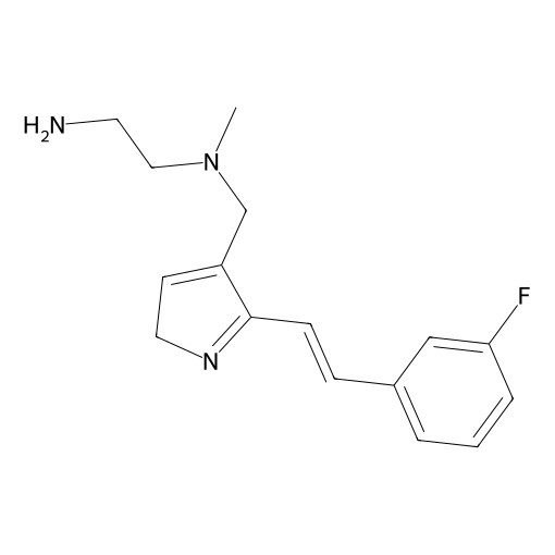 CN(CCN)CC1=CCN=C1/C=C/c1cccc(F)c1